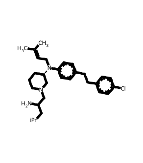 CC(C)=CCN(c1ccc(CCc2ccc(Cl)cc2)cc1)[C@H]1CCCN(CC(N)CC(C)C)C1